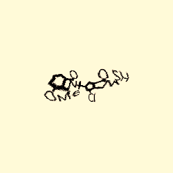 COc1cccc2c1CN(C(C)(C)c1cc(Cl)c3c(c1)C(=O)N(C(C)S)C3)C2=O